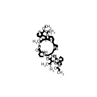 C=CC(=O)N1CC2(CCCN2C(=O)N(C)C(C(=O)N[C@H]2Cc3nc(cs3)-c3ccc4c(c3)c(c(-c3cccnc3[C@H](C)OC)n4CC)CC(C)(C)COC(=O)[C@@H]3CCCN(N3)C2=O)C(C)C)C1